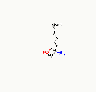 CCCCCCCCCCC(C)(N)CO